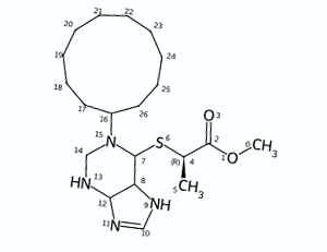 COC(=O)[C@@H](C)SC1C2NC=NC2NCN1C1CCCCCCCCCC1